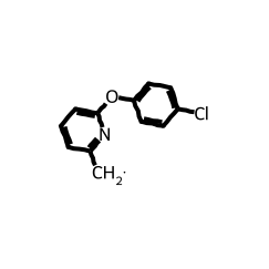 [CH2]c1cccc(Oc2ccc(Cl)cc2)n1